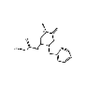 C=C1CN(Cc2ccccc2)C(NC(=O)OCCCC)C[C@H]1C